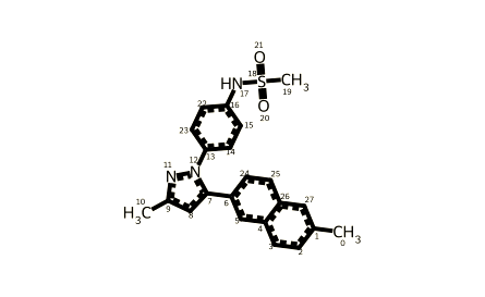 Cc1ccc2cc(-c3cc(C)nn3-c3ccc(NS(C)(=O)=O)cc3)ccc2c1